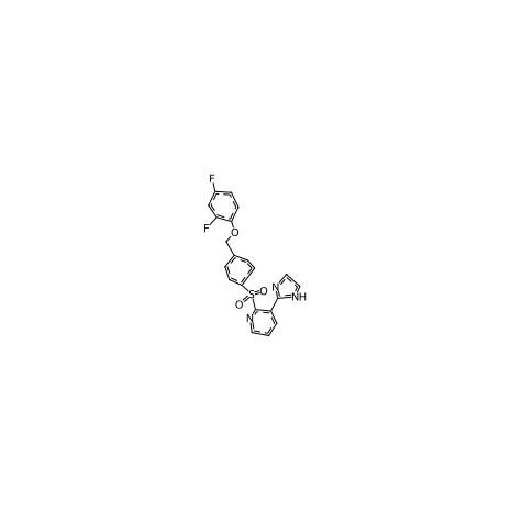 O=S(=O)(c1ccc(COc2ccc(F)cc2F)cc1)c1ncccc1-c1ncc[nH]1